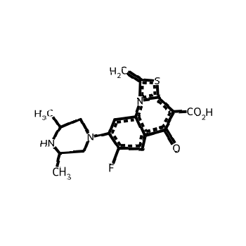 C=c1sc2c(C(=O)O)c(=O)c3cc(F)c(N4CC(C)NC(C)C4)cc3n12